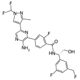 Cc1nn(C(F)F)cc1-c1cnc(N)c(-c2ccc(C(=O)N[C@H](CO)c3cc(F)cc(CF)c3)c(F)c2)n1